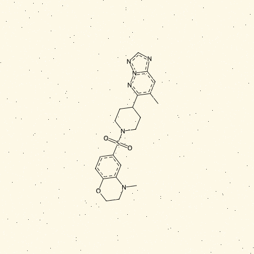 Cc1cc2ncnn2nc1C1CCN(S(=O)(=O)c2ccc3c(c2)N(C)CCO3)CC1